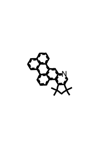 CC1(C)CC(C)(C)c2c1cnc1cc3c4cccc5cccc(c6cccc(c21)c63)c54